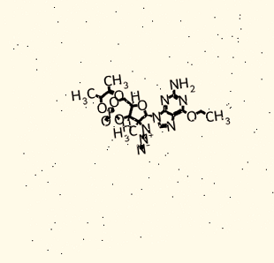 CCOc1nc(N)nc2c1ncn2[C@@H]1O[C@@H]2COP(=O)(OC(C)C(C)=O)O[C@H]2[C@@]1(C)N=[N+]=[N-]